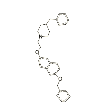 c1ccc(COc2ccc3cc(OCCN4CCC(Cc5ccccc5)CC4)ccc3c2)cc1